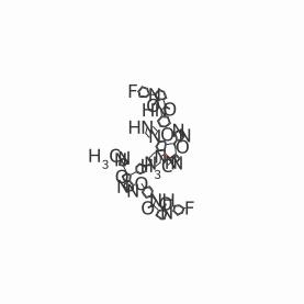 Cn1cc(-c2oc3ncnc(Oc4ccc(NC(=O)c5cccn(-c6ccc(F)cc6)c5=O)cc4)c3c2-c2ccc(N3CCN(Cc4c(-c5oc6ncnc(Oc7ccc(NC(=O)c8cccn(-c9ccc(F)cc9)c8=O)cc7)c6c5-c5cccc(N6CCNCC6)c5)cnn4C)CC3)cc2)cn1